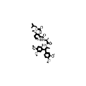 COc1ccc(C(=C(C)NC(=O)[C@H](C)NC(=O)c2nccc(OC)c2OC(=O)OCC(C)C)c2ccc(OC)c(OC)c2)cc1OC